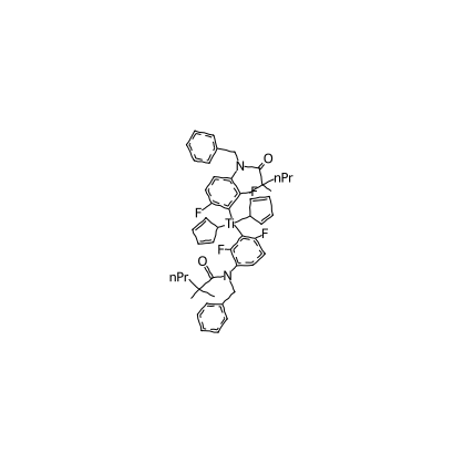 CCCC(C)(C)C(=O)N(Cc1ccccc1)c1ccc(F)[c]([Ti]([c]2c(F)ccc(N(Cc3ccccc3)C(=O)C(C)(C)CCC)c2F)([CH]2C=CC=C2)[CH]2C=CC=C2)c1F